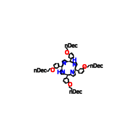 CCCCCCCCCCCCOc1cccc(-c2c3nc(c(-c4cccc(OCCCCCCCCCCCC)c4)c4ccc([nH]4)c(-c4cccc(OCCCCCCCCCCCC)c4)c4nc(c(-c5cccc(OCCCCCCCCCCCC)c5)c5ccc2[nH]5)C=C4)C=C3)c1